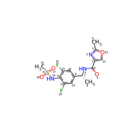 Cc1nc(C(=O)N[C@H](C)c2cc(F)c(NS(C)(=O)=O)c(F)c2)co1